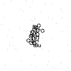 CC(C)(C)OC(=O)NC(C(=O)N[C@@H]1C(=O)N2[C@@H](C(=O)OC(c3ccccc3)c3ccccc3)C(CBr)=CS[C@H]12)c1ccccc1